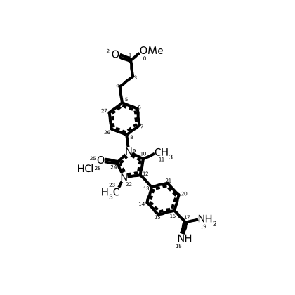 COC(=O)CCc1ccc(-n2c(C)c(-c3ccc(C(=N)N)cc3)n(C)c2=O)cc1.Cl